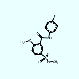 CNS(=O)(=O)c1ccc(OC)c(C(=O)Nc2ccc(F)cc2)c1